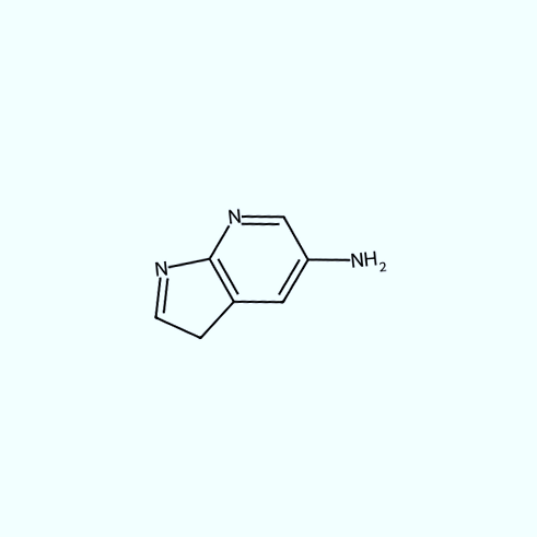 Nc1cnc2c(c1)CC=N2